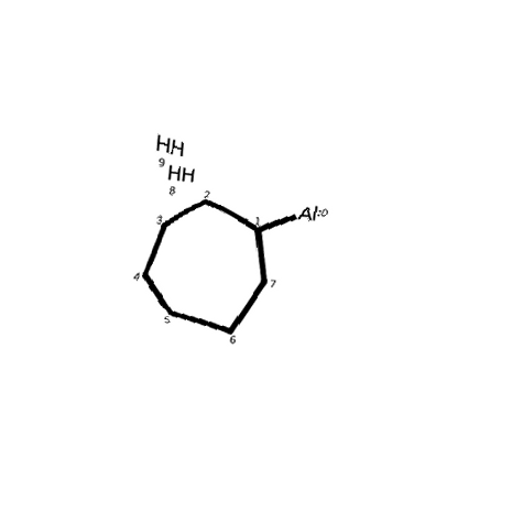 [Al][CH]1CCCCCC1.[HH].[HH]